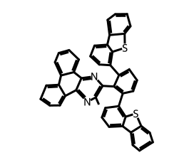 Cc1nc2c3ccccc3c3ccccc3c2nc1-c1c(-c2cccc3c2sc2ccccc23)cccc1-c1cccc2c1sc1ccccc12